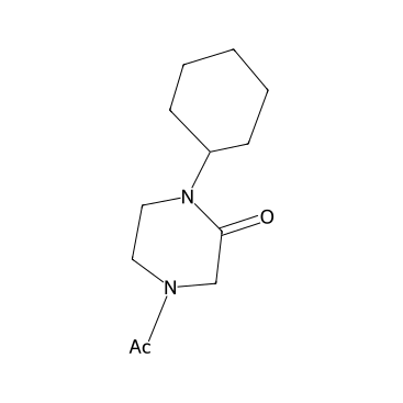 CC(=O)N1CCN(C2CCCCC2)C(=O)C1